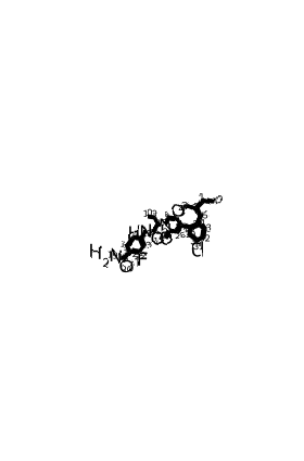 CCC1COc2cn(C(CC)C(=O)Nc3ccc(C(N)=O)c(F)c3)c(=O)cc2-c2cc(Cl)ccc2C1